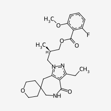 CCc1nn(C[C@@H](C)COC(=O)c2c(F)cccc2OC)c2c1C(=O)NCC1(CCOCC1)C2